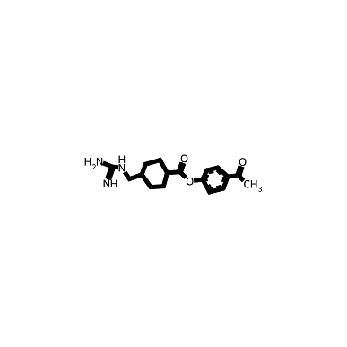 CC(=O)c1ccc(OC(=O)C2CCC(CNC(=N)N)CC2)cc1